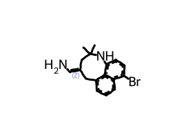 CC1(C)C/C(=C\N)Cc2cccc3c(Br)ccc(c23)N1